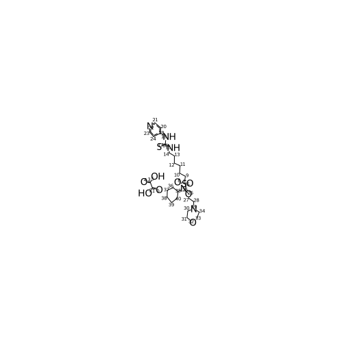 O=C(O)C(=O)O.O=S(=O)(CCCCCCNC(=S)Nc1ccncc1)N(OCCN1CCOCC1)C1CCCCC1